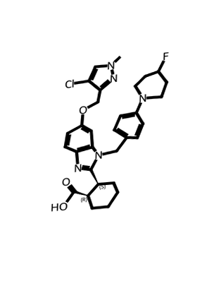 Cn1cc(Cl)c(COc2ccc3nc([C@H]4CCCC[C@H]4C(=O)O)n(Cc4ccc(N5CCC(F)CC5)cc4)c3c2)n1